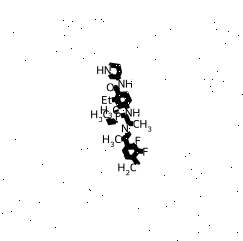 C=CC1C=CC(/C(C)=C/N=C(\C)C(Nc2ccc(C(=O)NC3CCCNC3)c(CC)c2)P(C)/C=C\C)=C(F)C1F